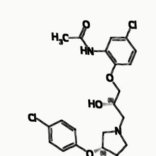 CC(=O)Nc1cc(Cl)ccc1OC[C@@H](O)CN1CC[C@H](Oc2ccc(Cl)cc2)C1